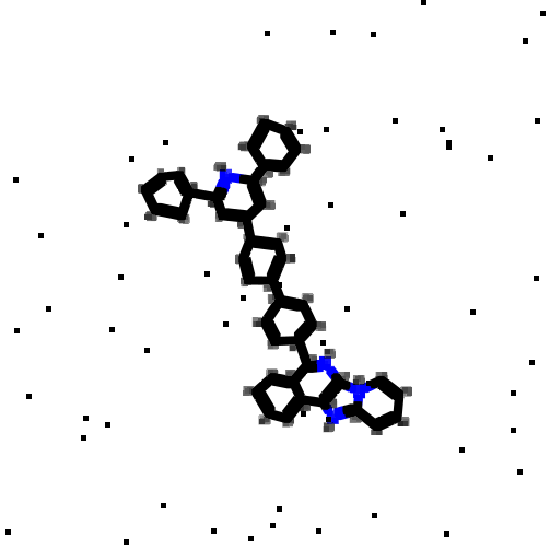 c1ccc(-c2cc(-c3ccc(-c4ccc(-c5nc6c(nc7ccccn76)c6ccccc56)cc4)cc3)cc(-c3ccccc3)n2)cc1